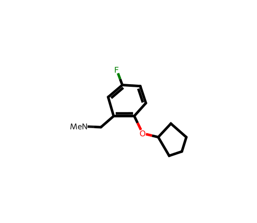 CNCc1cc(F)ccc1OC1CCCC1